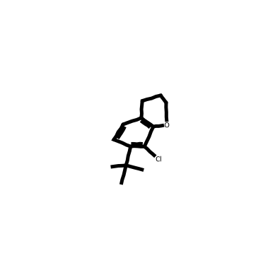 CC(C)(C)c1ccc2c(c1Cl)OCCC2